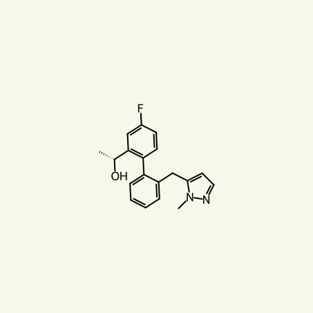 C[C@@H](O)c1cc(F)ccc1-c1ccccc1Cc1ccnn1C